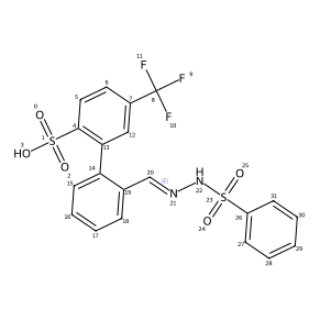 O=S(=O)(O)c1ccc(C(F)(F)F)cc1-c1ccccc1/C=N/NS(=O)(=O)c1ccccc1